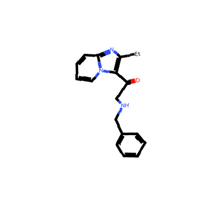 CCc1nc2ccccn2c1C(=O)CNCc1ccccc1